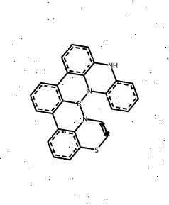 c1ccc2c(c1)Nc1cccc3c1N2B1c2c-3cccc2-c2cccc3c2N1c1ccccc1S3